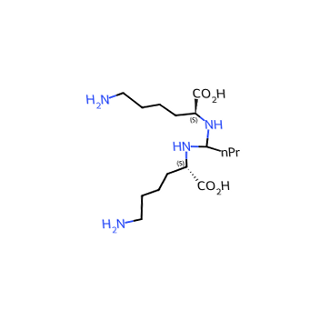 CCCC(N[C@@H](CCCCN)C(=O)O)N[C@@H](CCCCN)C(=O)O